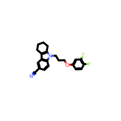 N#Cc1ccc2c(c1)c1c(n2CCCOc2ccc(F)c(F)c2)CCCC1